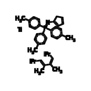 CC(=CC(C)C)C(C)=CC(C)C.Cc1ccc(P(=NC2=CC=CC2)(c2ccc(C)cc2)c2ccc(C)cc2)cc1.[Ti]